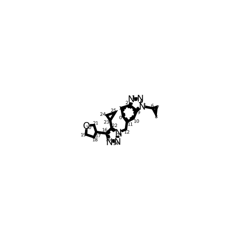 c1cc2nnn(C3CC3)c2cc1Cn1nnc(C2CCOC2)c1C1CC1